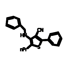 CCCc1sc(-c2ccccc2)c(C#N)c1NCc1ccccc1